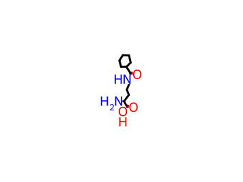 N[C@@H](CCCNC(=O)C1CCCCC1)C(=O)O